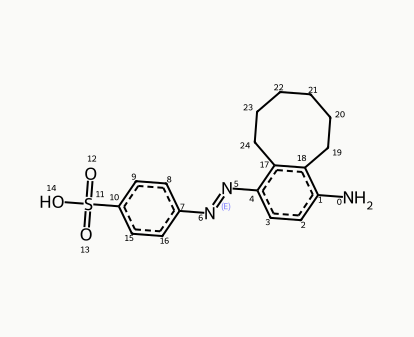 Nc1ccc(/N=N/c2ccc(S(=O)(=O)O)cc2)c2c1CCCCCC2